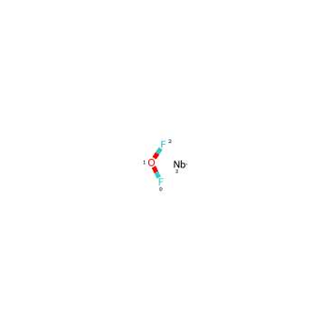 FOF.[Nb]